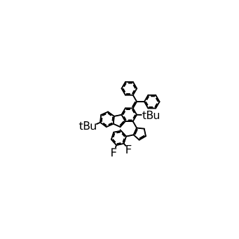 CC(C)(C)c1ccc2c(c1)[C]=c1c-2cc(=C(c2ccccc2)c2ccccc2)c(C(C)(C)C)c1C1=C(c2cccc(F)c2F)C=CC1